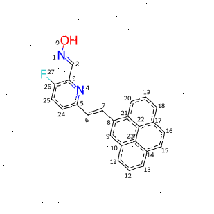 O/N=C/c1nc(/C=C/c2cc3cccc4ccc5cccc2c5c43)ccc1F